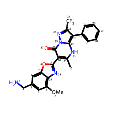 COc1cc(CN)cc2oc(-c3c(C)[nH]c4c(-c5ccccc5)c(C(F)(F)F)nn4c3=O)nc12